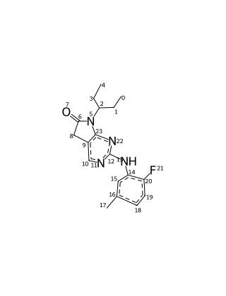 CCC(CC)N1C(=O)Cc2cnc(Nc3cc(C)ccc3F)nc21